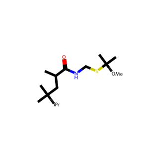 COC(C)(C)SCNC(=O)C(C)CC(C)(C)C(C)C